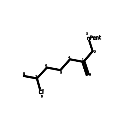 C=C(CCCCCC)CCCC(C)Cl